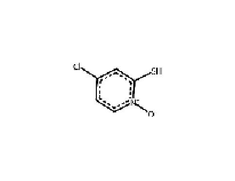 [O-][n+]1ccc(Cl)cc1S